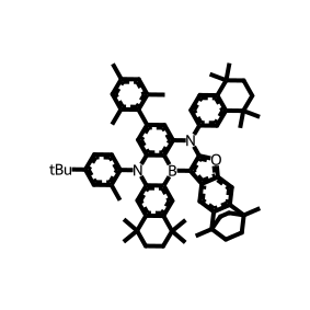 Cc1cc(C)c(-c2cc3c4c(c2)N(c2ccc5c(c2)C(C)(C)CCC5(C)C)c2oc5cc6c(cc5c2B4c2cc4c(cc2N3c2ccc(C(C)(C)C)cc2C)C(C)(C)CCC4(C)C)C2(C)CCC6(C)CC2)c(C)c1